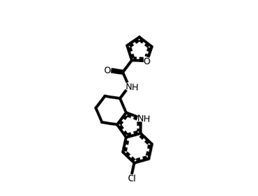 O=C(NC1CCCc2c1[nH]c1ccc(Cl)cc21)c1ccco1